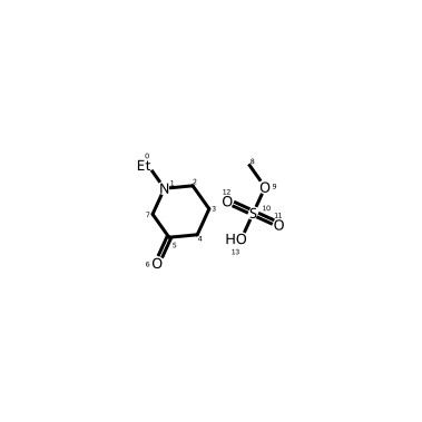 CCN1CCCC(=O)C1.COS(=O)(=O)O